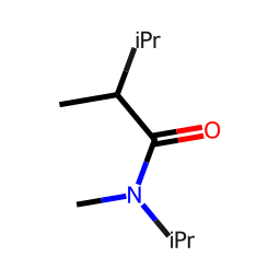 CC(C)C(C)C(=O)N(C)C(C)C